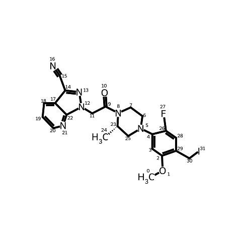 COc1cc(N2CCN(C(=O)Cn3nc(C#N)c4cccnc43)[C@@H](C)C2)c(F)cc1CI